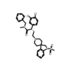 CN(Cc1ccccc1)C(=O)[C@@H](CCN1CCC2(CC1)CN(S(C)(=O)=O)c1ccccc12)c1ccc(Cl)c(Cl)c1